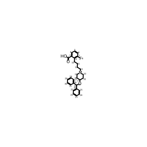 O=C(O)c1cccc(F)c1CCCCN1CCC(OC(c2ccccc2)c2ccccc2)CC1